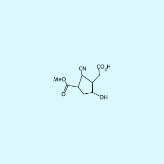 COC(=O)C1CC(O)C(CC(=O)O)C1C#N